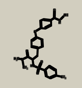 Cc1ccc(S(=O)(=O)NC(Cc2ccc(Oc3ccc(C(=O)NO)cc3)cc2)C(=O)N(C)C)cc1